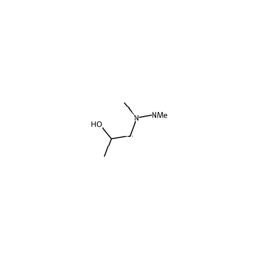 CNN(C)[CH]C(C)O